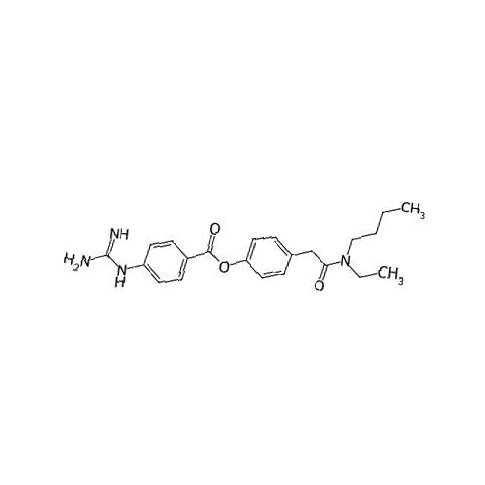 CCCCN(CC)C(=O)Cc1ccc(OC(=O)c2ccc(NC(=N)N)cc2)cc1